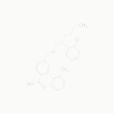 CCCCC(COCc1ccc(C(=O)O)c(-c2ccccc2C)c1)c1ccccc1Cl